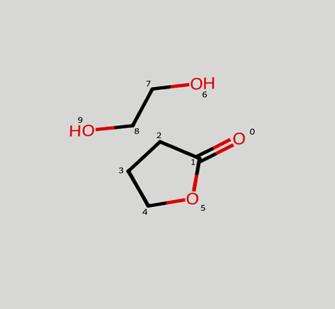 O=C1CCCO1.OCCO